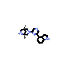 c1cc(-c2cncc(N3C[C@H]4CN[C@@H](C4)C3)n2)c2cc[nH]c2c1